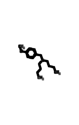 CCCCN(CCCC)Cc1ccc(OC)cc1